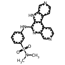 CN(C)S(=O)(=O)c1cccc(Nc2nc3cnccc3c3c2[nH]c2cnccc23)c1